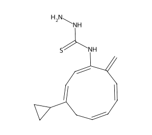 C=C1/C=C\C=C/C/C(C2CC2)=C\C=C/1NC(=S)NN